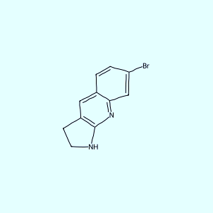 Brc1ccc2cc3c(nc2c1)NCC3